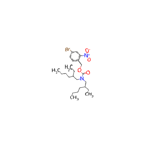 CCCCC(CC)CN(CC(CC)CCCC)C(=O)OCc1ccc(Br)cc1[N+](=O)[O-]